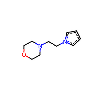 c1ccn(CCN2CCOCC2)c1